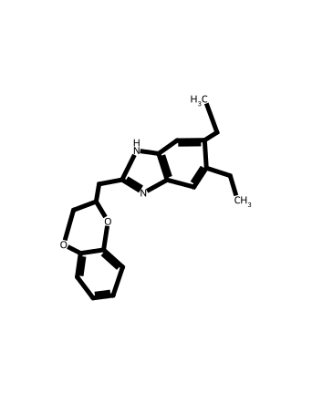 CCc1cc2nc(CC3COc4ccccc4O3)[nH]c2cc1CC